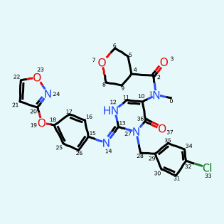 CN(C(=O)C1CCOCC1)c1c[nH]/c(=N\c2ccc(Oc3ccon3)cc2)n(Cc2ccc(Cl)cc2)c1=O